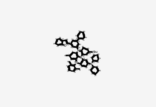 Cc1cc2c3c(c1)N(c1c(C)cccc1C)c1ccc(N(c4ccccc4)c4ccccc4)cc1B3c1cc(C(C)(C)C)ccc1N2c1cc(-c2ccccc2)cc(-c2cc3ccccc3o2)c1